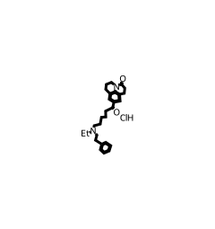 CCN(CCCCCC(=O)c1cc2c3c(c1)CCC(=O)N3CCC2)CCc1ccccc1.Cl